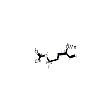 C=C/C(=C\C[C@H](C)OC(=O)Cl)OC